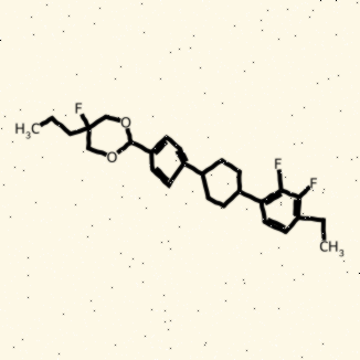 CCCC1(F)COC(c2ccc(C3CCC(c4ccc(CC)c(F)c4F)CC3)cc2)OC1